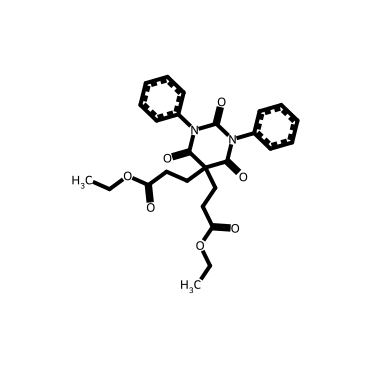 CCOC(=O)CCC1(CCC(=O)OCC)C(=O)N(c2ccccc2)C(=O)N(c2ccccc2)C1=O